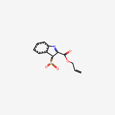 C=CCOC(=O)C1=Nc2ccccc2C1=S(=O)=O